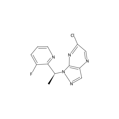 C[C@@H](c1ncccc1F)n1ncc2ncc(Cl)nc21